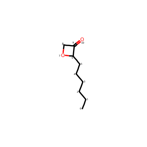 CCCCCCC1O[CH]C1=O